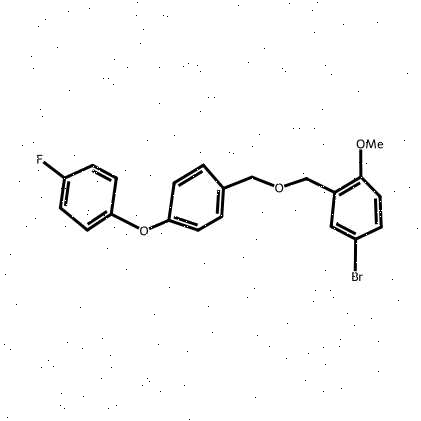 COc1ccc(Br)cc1COCc1ccc(Oc2ccc(F)cc2)cc1